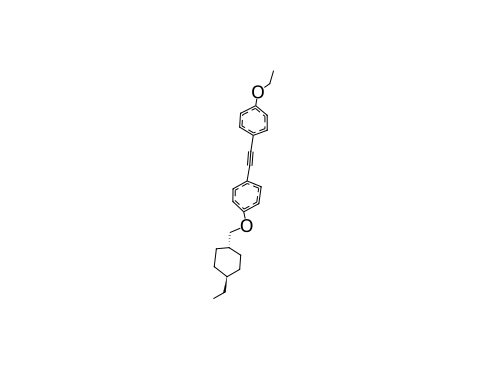 CCOc1ccc(C#Cc2ccc(OC[C@H]3CC[C@H](CC)CC3)cc2)cc1